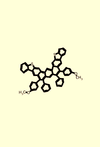 COc1ccc(-c2c(-c3ccccc3)c3cc4c(-c5ccccc5)c(-c5ccc(OC)cc5)c5cc6c(cc5c4cc3c3cc4sc5ccccc5c4cc23)sc2ccccc26)cc1